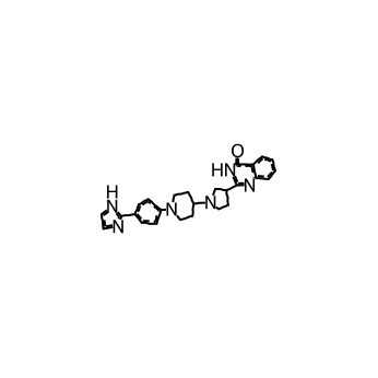 O=c1[nH]c(C2CCN(C3CCN(c4ccc(-c5ncc[nH]5)cc4)CC3)C2)nc2ccccc12